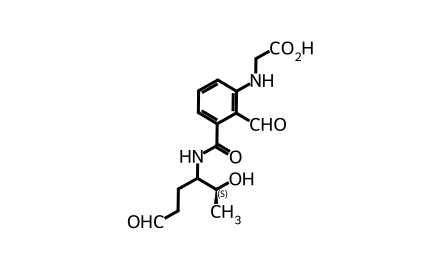 C[C@H](O)C(CCC=O)NC(=O)c1cccc(NCC(=O)O)c1C=O